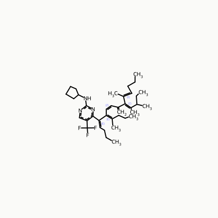 C=C(\C=C/C(C(=C\CCC)/c1nc(NC2CCCC2)ncc1C(F)(F)F)=C(/C)CCC)C(=C(\C)C(C)CC)/C(C)=C/CCC